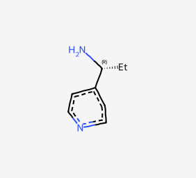 CC[C@@H](N)c1ccncc1